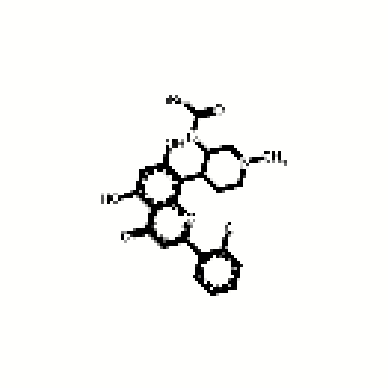 CCCCC(=O)OC1CN(C)CCC1c1c(O)cc(O)c2c(=O)cc(-c3ccccc3Cl)oc12